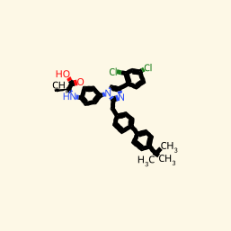 CC[C@H](Nc1ccc(-n2cc(-c3ccc(Cl)cc3Cl)nc2Cc2ccc(-c3ccc(C(C)(C)C)cc3)cc2)cc1)C(=O)O